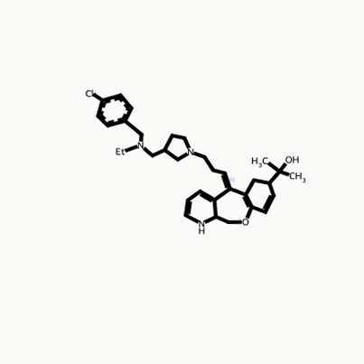 CCN(Cc1ccc(Cl)cc1)CC1CCN(CC/C=C2\C3=CC=CNC3COC3=C2CC(C(C)(C)O)C=C3)C1